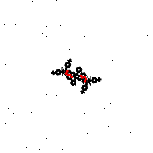 CC(C)(C)c1ccc(-c2nc(-c3ccc(-c4ccccc4-c4c5cc6ccccc6cc5c(-c5ccccc5-c5ccc(-c6nc(-c7ccc(C(C)(C)C)cc7)nc(-c7ccc(C(C)(C)C)cc7)n6)cc5)c5cc6ccccc6cc45)cc3)nc(-c3ccc(C(C)(C)C)cc3)n2)cc1